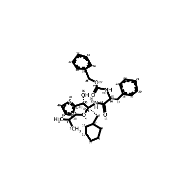 CC(C)CO[C@](CC1CCCCC1)(NC(=O)[C@H](Cc1ccccc1)NC(=O)OCc1ccccc1)[C@@H](O)c1nccs1